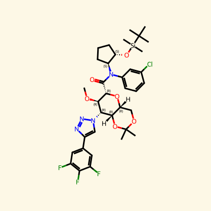 CO[C@@H]1[C@@H](n2cc(-c3cc(F)c(F)c(F)c3)nn2)[C@H]2OC(C)(C)OC[C@H]2O[C@H]1C(=O)N(c1cccc(Cl)c1)[C@H]1CCC[C@@H]1O[Si](C)(C)C(C)(C)C